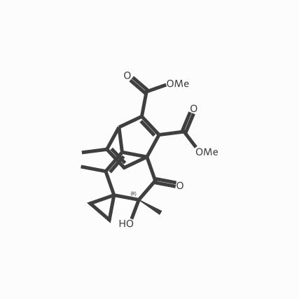 COC(=O)C1=C(C(=O)OC)C23C=C(C)C1C2=C(C)C1(CC1)[C@@](C)(O)C3=O